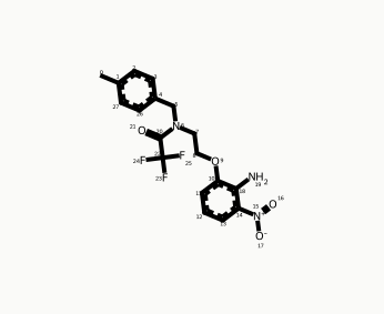 Cc1ccc(CN(CCOc2cccc([N+](=O)[O-])c2N)C(=O)C(F)(F)F)cc1